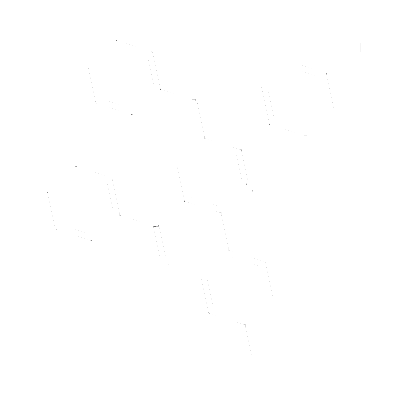 O=C(c1ccccc1)c1cc(C(=O)c2ccccc2)c(-c2ccc(Cl)cc2)nc1-c1ccc(Cl)cc1